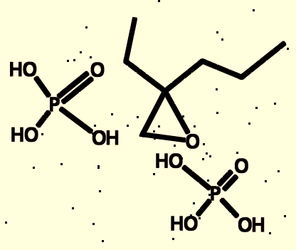 CCCC1(CC)CO1.O=P(O)(O)O.O=P(O)(O)O